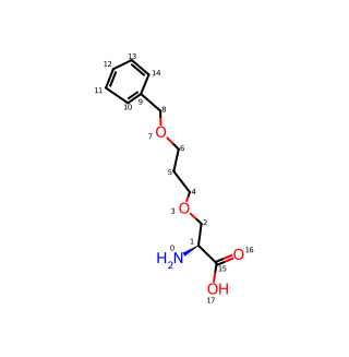 N[C@@H](COCCCOCc1ccccc1)C(=O)O